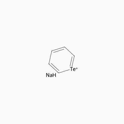 [NaH].c1cc[te+]cc1